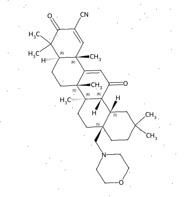 CC1(C)CC[C@]2(CN3CCOCC3)CC[C@]3(C)[C@H](C(=O)C=C4[C@@]5(C)C=C(C#N)C(=O)C(C)(C)[C@@H]5CC[C@]43C)[C@@H]2C1